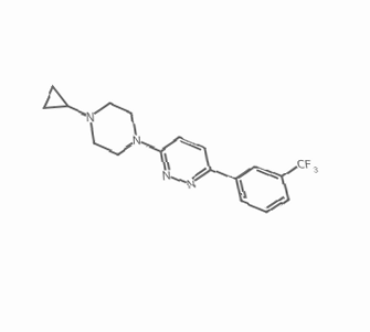 FC(F)(F)c1cccc(-c2ccc(N3CCN(C4CC4)CC3)nn2)c1